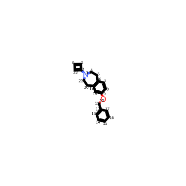 C1=CC(N2CCc3ccc(OCc4ccccc4)cc3CC2)=C1